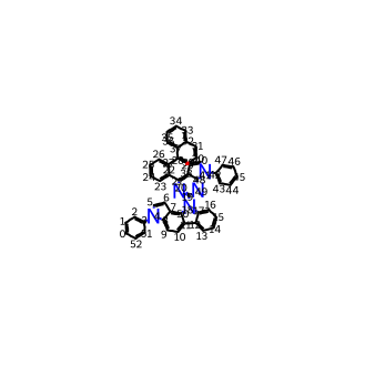 c1ccc(-n2ccc3c2ccc2c4ccccc4n(-c4nc(-c5ccccc5-c5cccc6ccccc56)c5ccn(-c6ccccc6)c5n4)c23)cc1